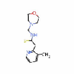 Cc1cccnc1CC(=S)NCN1CCOCC1